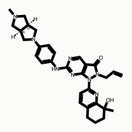 C=CCn1c(=O)c2cnc(Nc3ccc(N4C[C@H]5CN(C)C[C@H]5C4)cc3)nc2n1-c1ccc2c(n1)C(C)(O)CCC2